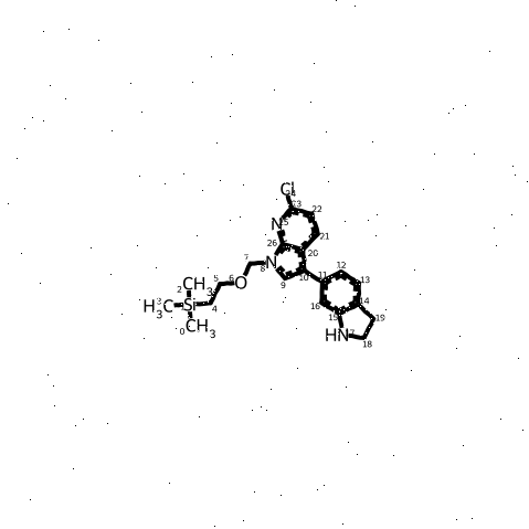 C[Si](C)(C)CCOCn1cc(-c2ccc3c(c2)NCC3)c2ccc(Cl)nc21